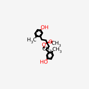 COC(CCc1cc(O)ccc1C)(CCc1cc(O)ccc1C)OC